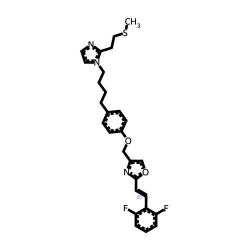 CSCCc1nccn1CCCCc1ccc(OCc2coc(/C=C/c3c(F)cccc3F)n2)cc1